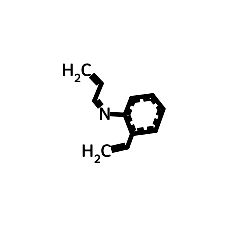 C=C/C=N\c1ccccc1C=C